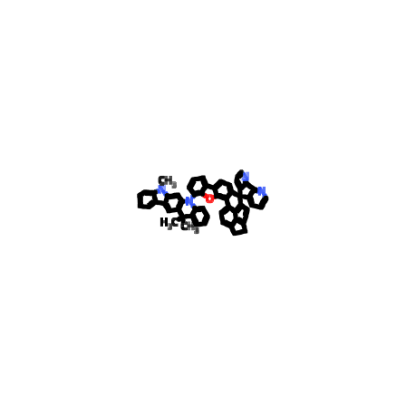 Cn1c2ccccc2c2cc3c(cc21)N(c1cccc2c1oc1c4c(ccc12)C1(c2cccnc2-c2ncccc21)c1ccc2c5c(ccc-4c15)CC2)c1ccccc1C3(C)C